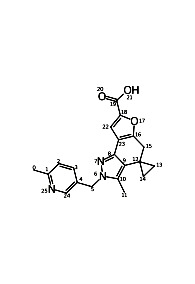 Cc1ccc(Cn2nc3c(c2C)C2(CC2)Cc2oc(C(=O)O)cc2-3)cn1